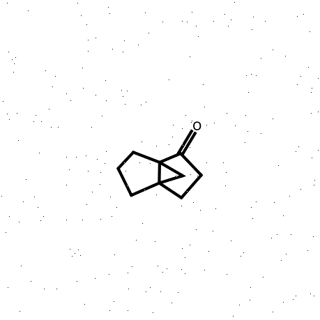 O=C1CCC23CCCC12C3